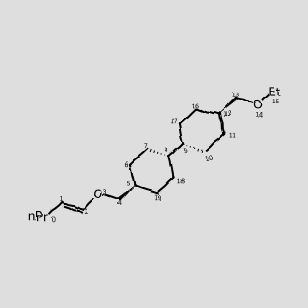 CCCC=COC[C@H]1CC[C@H]([C@H]2CC[C@H](COCC)CC2)CC1